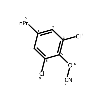 CCCc1cc(Cl)c(OC#N)c(Cl)c1